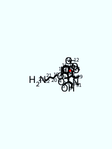 CC1=C(C(=O)O)C(C)(c2cc(S(C)(=O)=O)ccc2OCCCCN)C(C(=O)O)=C(C)N1C